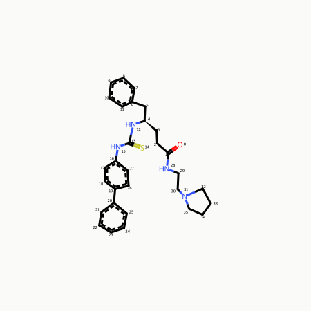 O=C(CC[C@H](Cc1ccccc1)NC(=S)Nc1ccc(-c2ccccc2)cc1)NCCN1CCCC1